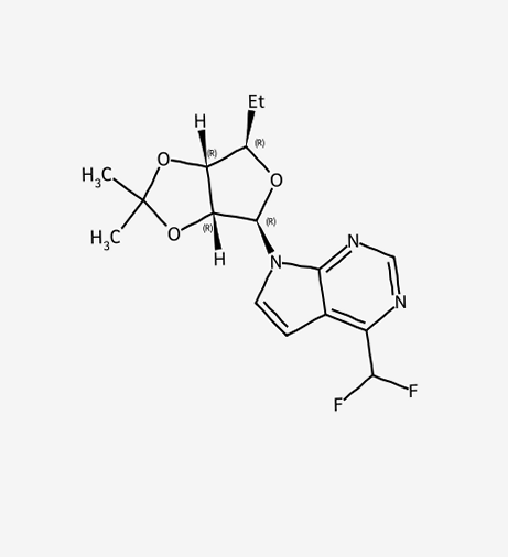 CC[C@H]1O[C@@H](n2ccc3c(C(F)F)ncnc32)[C@@H]2OC(C)(C)O[C@@H]21